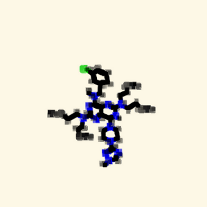 COCCN(CCOC)c1nc(N2CCN(c3ncn(C)n3)CC2)c2nc(N(CCOC)CCOC)nc(N(C)Cc3cccc(Cl)c3)c2n1